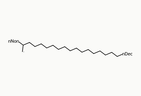 [CH2]C(CCCCCCCCC)CCCCCCCCCCCCCCCCCCCCCCCCCC